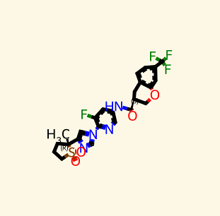 C[C@]1(c2cn(-c3ncc(NC(=O)[C@@H]4COc5cc(C(F)(F)F)ccc5C4)cc3F)cn2)CCCS1(=O)=O